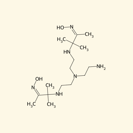 C/C(=N/O)C(C)(C)NCCN(CCN)CCNC(C)(C)/C(C)=N\O